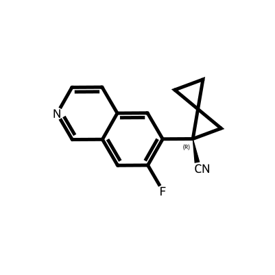 N#C[C@]1(c2cc3ccncc3cc2F)CC12CC2